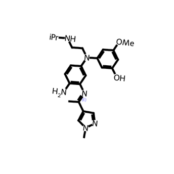 COc1cc(O)cc(N(CCNC(C)C)c2ccc(N)c(/N=C(\C)c3cnn(C)c3)c2)c1